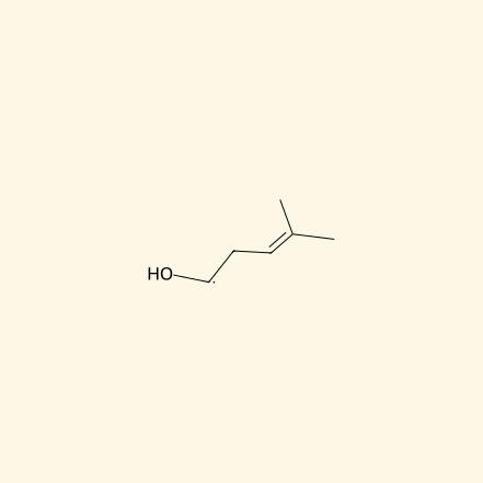 CC(C)=CC[CH]O